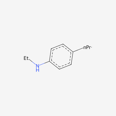 CC[CH]c1ccc(NCC)cc1